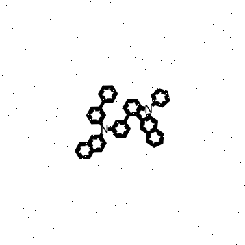 c1ccc(-c2cccc(N(c3cccc(-c4cccc5c4c4cc6ccccc6cc4n5-c4ccccc4)c3)c3ccc4ccccc4c3)c2)cc1